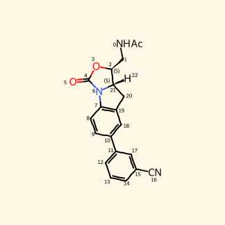 CC(=O)NC[C@@H]1OC(=O)N2c3ccc(-c4cccc(C#N)c4)cc3C[C@@H]12